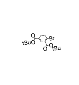 CC(C)(C)OC(=O)c1ccc(Br)c(C(=O)OC(C)(C)C)c1